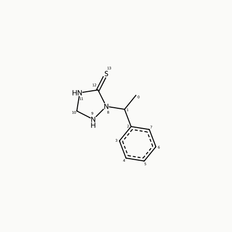 CC(c1ccccc1)N1NCNC1=S